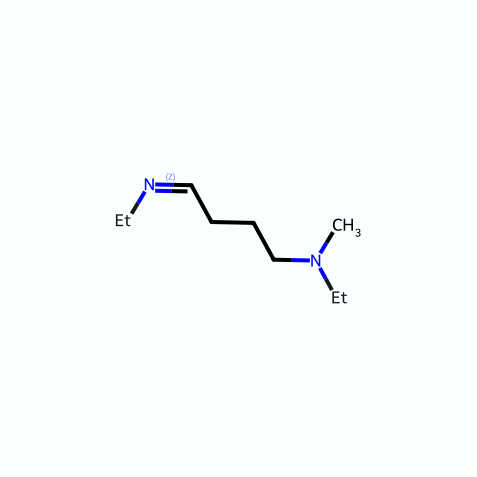 CC/N=C\CCCN(C)CC